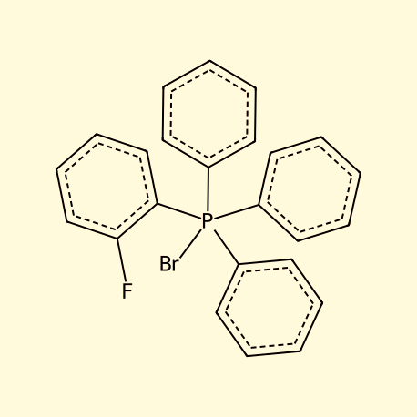 Fc1ccccc1P(Br)(c1ccccc1)(c1ccccc1)c1ccccc1